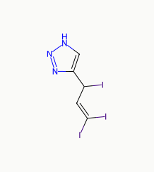 IC(I)=CC(I)c1c[nH]nn1